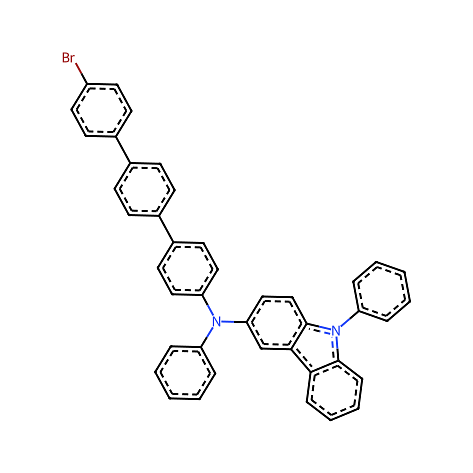 Brc1ccc(-c2ccc(-c3ccc(N(c4ccccc4)c4ccc5c(c4)c4ccccc4n5-c4ccccc4)cc3)cc2)cc1